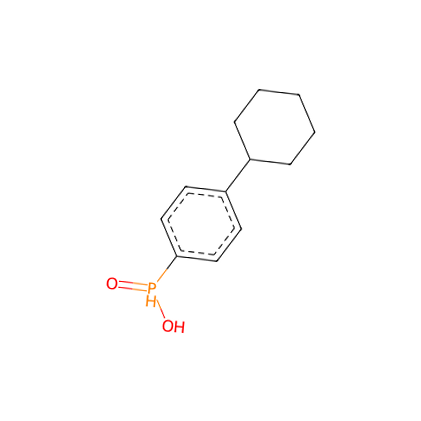 O=[PH](O)c1ccc(C2CCCCC2)cc1